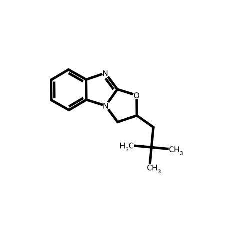 CC(C)(C)CC1Cn2c(nc3ccccc32)O1